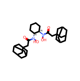 O=C(CC12CC3CC(CC(C3)C1)C2)N(O)[C@@H]1CCCC[C@H]1N(O)C(=O)CC12CC3CC(CC(C3)C1)C2